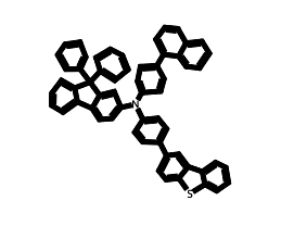 c1ccc(C2(c3ccccc3)c3ccccc3-c3ccc(N(c4ccc(-c5ccc6sc7ccccc7c6c5)cc4)c4ccc(-c5cccc6ccccc56)cc4)cc32)cc1